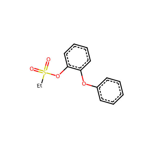 CCS(=O)(=O)Oc1ccccc1Oc1ccccc1